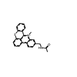 CC(=O)NCc1ccc2c3cccc4c3c([n+](C)c2c1)-c1ccccc1S4